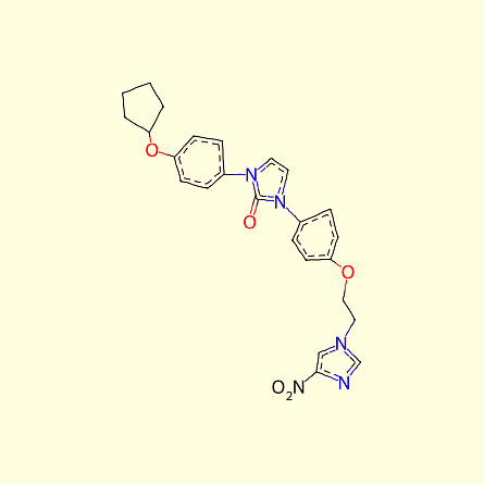 O=c1n(-c2ccc(OCCn3cnc([N+](=O)[O-])c3)cc2)ccn1-c1ccc(OC2CCCC2)cc1